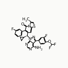 Cc1csc2cc([C@H](C3CC3)n3nc(-c4ccc(OC(F)F)c(F)c4)c4c(N)ncnc43)c(-c3cccc(F)c3)c(=O)n12